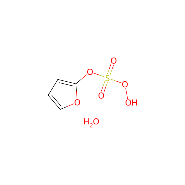 O.O=S(=O)(OO)Oc1ccco1